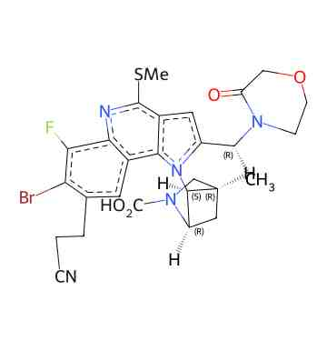 CSc1nc2c(F)c(Br)c(CCC#N)cc2c2c1cc([C@@H](C)N1CCOCC1=O)n2[C@H]1[C@@H]2C[C@H]1N(C(=O)O)C2